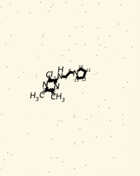 Cc1nc(Cl)c(NCCN2CCCC2)nc1C